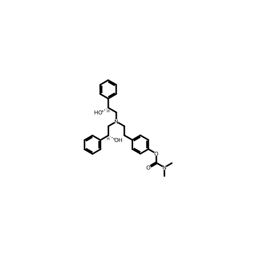 CN(C)C(=O)Oc1ccc(CCN(C[C@H](O)c2ccccc2)C[C@H](O)c2ccccc2)cc1